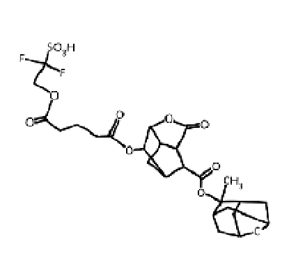 CC1(OC(=O)C2C3CC4C(OC(=O)C42)C3OC(=O)CCCC(=O)OCC(F)(F)S(=O)(=O)O)C2CC3CC(C2)CC1C3